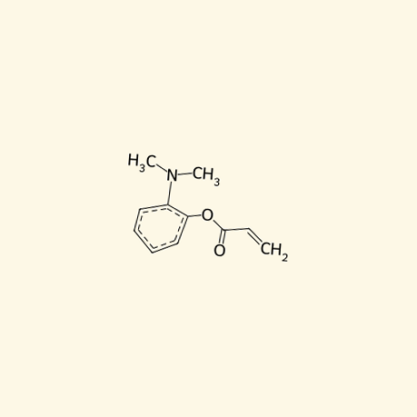 C=CC(=O)Oc1ccccc1N(C)C